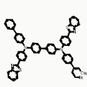 C/C=C(\C=C/CC)c1ccc(N(c2ccc(-c3ccc(N(c4ccc(-c5ccccc5)cc4)c4ccc(-c5nc6ccccc6s5)cc4)cc3)cc2)c2ccc(-c3nc4ccccc4s3)cc2)cc1